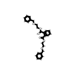 O=C(OCCOCc1ccccc1)C1C2C=CC(C2)C1C(=O)OCCOCc1ccccc1